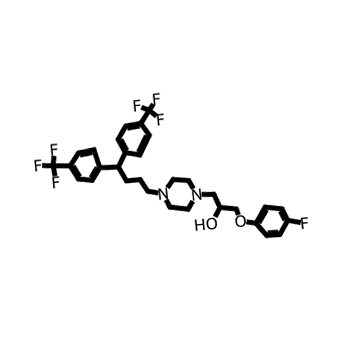 OC(COc1ccc(F)cc1)CN1CCN(CCCC(c2ccc(C(F)(F)F)cc2)c2ccc(C(F)(F)F)cc2)CC1